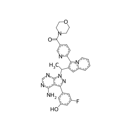 CC(c1cc2ccccn2c1-c1ccc(C(=O)N2CCOCC2)cn1)n1nc(-c2cc(O)cc(F)c2)c2c(N)ncnc21